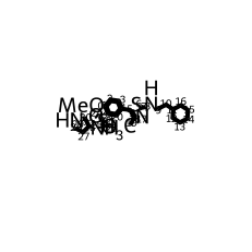 COc1ccc(-c2sc(NCCC3CCCCC3)nc2C)cc1S(=O)(=O)N[C@H]1CCNC1